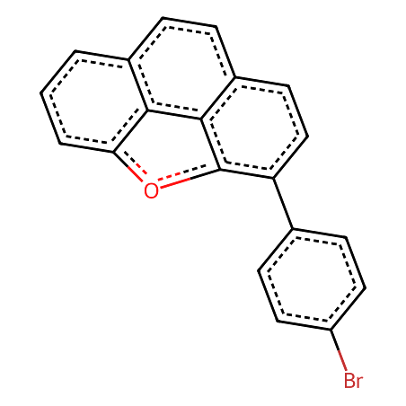 Brc1ccc(-c2ccc3ccc4cccc5oc2c3c45)cc1